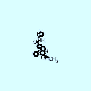 CC#C[C@@]1(O)CC[C@@]2(Cc3ccccc3)c3ccc(C(=O)NCc4ccccn4)cc3CC[C@@H]2C1